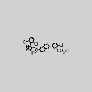 CCOC(=O)c1cc(-c2ccc3cc(OCc4c(-c5c(Cl)cccc5Cl)noc4C(C)C)ccc3c2)ccc1Cl